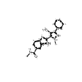 CNC(=O)c1ccc2nc(-c3c(O)c(-c4ccccc4)nn3C)[nH]c2c1